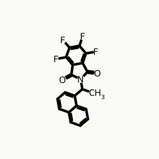 CC(c1cccc2ccccc12)N1C(=O)c2c(F)c(F)c(F)c(F)c2C1=O